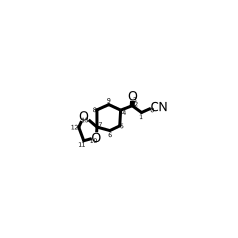 N#CCC(=O)C1CCC2(CC1)OCCO2